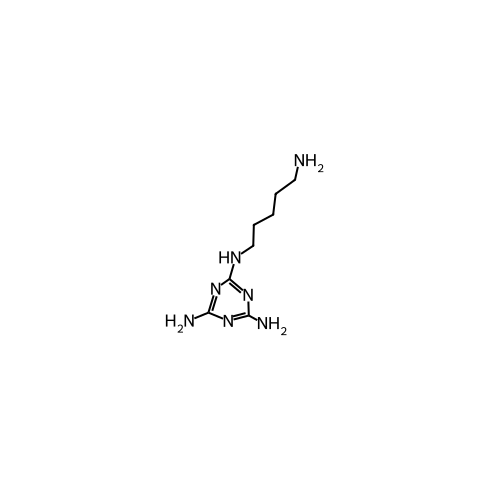 NCCCCCNc1nc(N)nc(N)n1